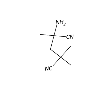 CC(C)(C#N)CC(C)(N)C#N